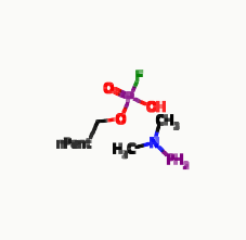 CCCCCCOP(=O)(O)F.CN(C)P